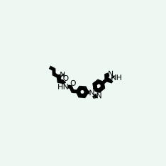 CCCc1cc(NC(=O)Cc2ccc(-n3cnc4cc(-c5cn[nH]c5)ccc43)cc2)on1